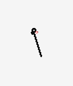 CCCCCCCCCCCCCCCCCCc1ccc2ccccc(OC)c1-2